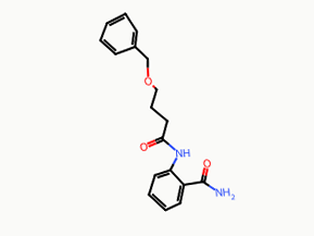 NC(=O)c1ccccc1NC(=O)CCCOCc1ccccc1